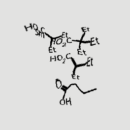 CCC(CC)(CC)C(=O)O.CCC(CC)C(=O)O.CCC(CC)C(=O)O.CCCC(=O)O.[Sm]